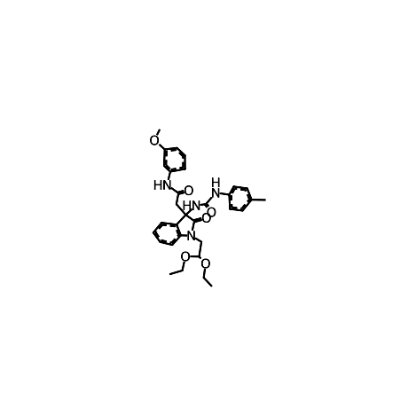 CCOC(CN1C(=O)C(CC(=O)Nc2cccc(OC)c2)(NC(=O)Nc2ccc(C)cc2)c2ccccc21)OCC